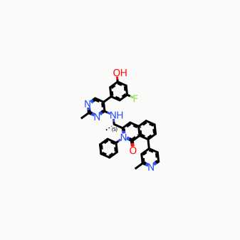 Cc1cc(-c2cccc3cc([C@H](C)Nc4nc(C)ncc4-c4cc(O)cc(F)c4)n(-c4ccccc4)c(=O)c23)ccn1